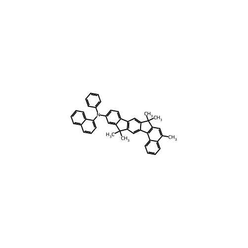 Cc1cc2c(c3ccccc13)-c1cc3c(cc1C2(C)C)-c1ccc(N(c2ccccc2)c2cccc4ccccc24)cc1C3(C)C